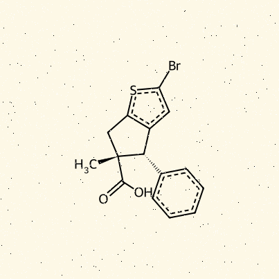 C[C@@]1(C(=O)O)Cc2sc(Br)cc2[C@@H]1c1ccccc1